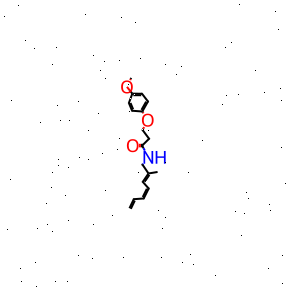 C=C/C=C\C=C(/C)CNC(=O)CCOc1ccc(OC)cc1